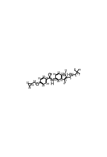 Cc1c(CNCC(C)(C)C)n(C)c2ccc(NC(=O)c3ccc(OCC4CC4)cc3)cc12